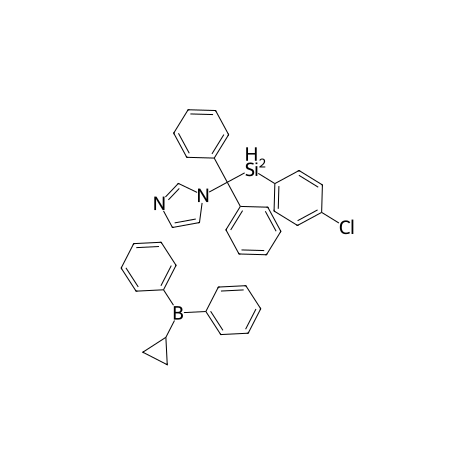 Clc1ccc([SiH2]C(c2ccccc2)(c2ccccc2)n2ccnc2)cc1.c1ccc(B(c2ccccc2)C2CC2)cc1